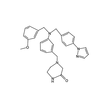 COc1cccc(CN(Cc2ccc(-n3cccn3)cc2)c2cccc(CN3CCNC(=O)C3)c2)c1